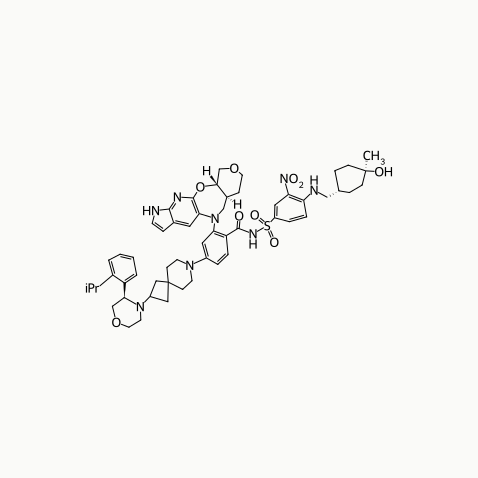 CC(C)c1ccccc1[C@@H]1COCCN1C1CC2(CCN(c3ccc(C(=O)NS(=O)(=O)c4ccc(NC[C@H]5CC[C@](C)(O)CC5)c([N+](=O)[O-])c4)c(N4C[C@@H]5CCOC[C@H]5Oc5nc6[nH]ccc6cc54)c3)CC2)C1